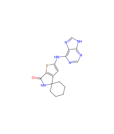 O=C1NC2(CCCCC2)c2cc(Nc3ncnc4[nH]cnc34)sc21